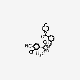 Cc1nn(Cc2cccc(C(=O)N3CCOCC3)c2)c(C)c1-c1ccc(C#N)c(Cl)c1